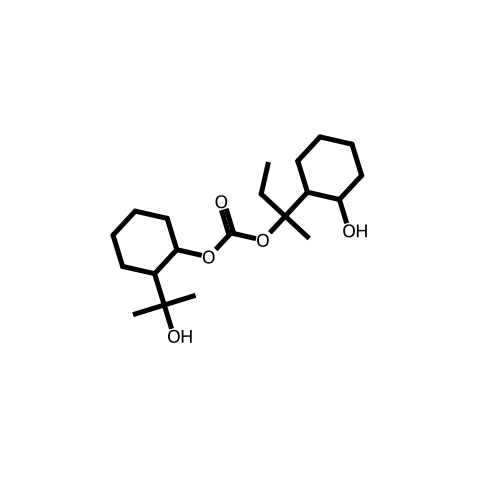 CCC(C)(OC(=O)OC1CCCCC1C(C)(C)O)C1CCCCC1O